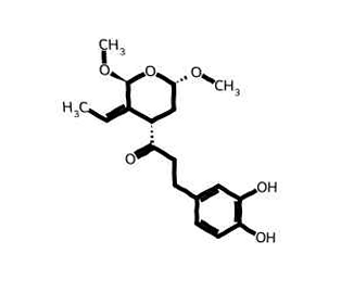 C/C=C1\[C@@H](OC)O[C@H](OC)C[C@@H]1C(=O)CCc1ccc(O)c(O)c1